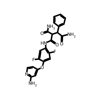 NC(=O)C(C(=O)Nc1cc(F)c(Oc2ccnc(N)c2)cc1F)C(C(N)=O)c1ccccc1